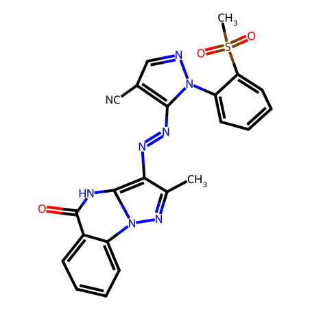 Cc1nn2c([nH]c(=O)c3ccccc32)c1/N=N/c1c(C#N)cnn1-c1ccccc1S(C)(=O)=O